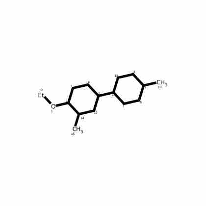 CCOC1CCC(C2CCC(C)CC2)CC1C